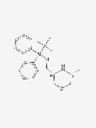 C[C@@H]1COC[C@H](CO[Si](c2ccccc2)(c2ccccc2)C(C)(C)C)N1